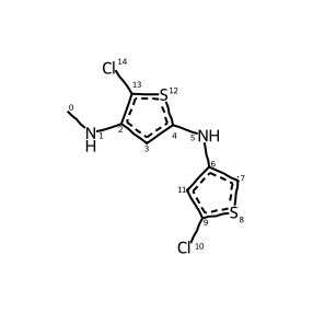 CNc1cc(Nc2[c]sc(Cl)c2)sc1Cl